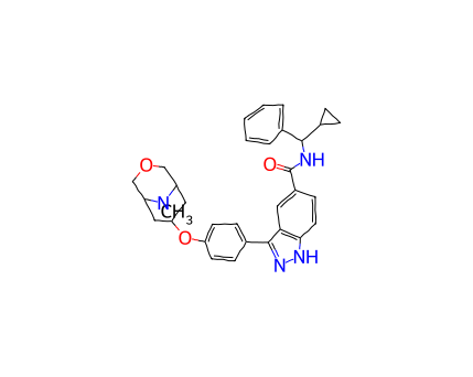 CN1C2COCC1CC(Oc1ccc(-c3n[nH]c4ccc(C(=O)NC(c5ccccc5)C5CC5)cc34)cc1)C2